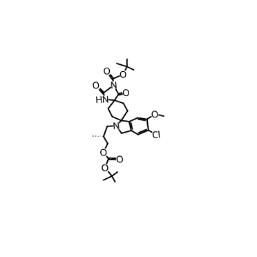 COc1cc2c(cc1Cl)CN(C[C@@H](C)COC(=O)OC(C)(C)C)C21CCC2(CC1)NC(=O)N(C(=O)OC(C)(C)C)C2=O